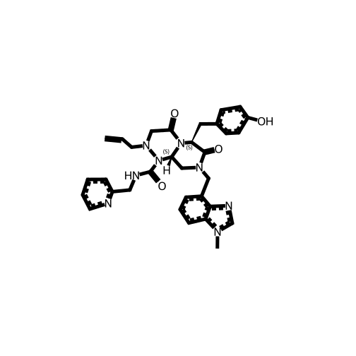 C=CCN1CC(=O)N2[C@@H](Cc3ccc(O)cc3)C(=O)N(Cc3cccc4c3ncn4C)C[C@@H]2N1C(=O)NCc1ccccn1